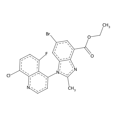 CCOC(=O)c1cc(Br)cc2c1nc(C)n2-c1ccnc2c(Cl)ccc(F)c12